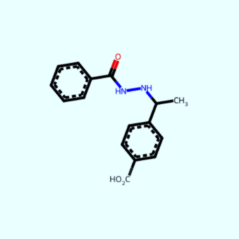 CC(NNC(=O)c1ccccc1)c1ccc(C(=O)O)cc1